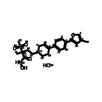 Cc1csc(-c2ccc(C3=CCN(CCC(C)(C(=O)NO)S(C)(=O)=O)CC3)cc2)c1.Cl